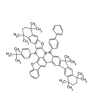 CC(C)(C)c1ccc(N2c3c(oc4cc5c(cc34)C(C)(C)CCC5(C)C)B3c4c(cc5c(oc6ccccc65)c42)-c2cc4c(cc2N3c2ccc(-c3ccccc3)cc2)C(C)(C)c2cc3c(cc2-4)C(C)(C)CCC3(C)C)cc1